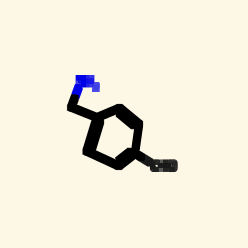 NCc1ccc(C=O)cc1